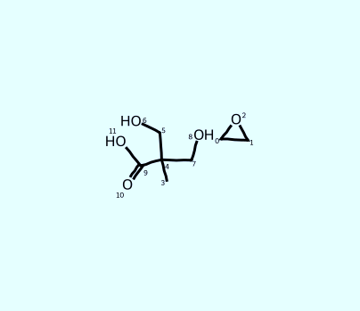 C1CO1.CC(CO)(CO)C(=O)O